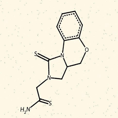 NC(=S)CN1CC2COc3ccccc3N2C1=S